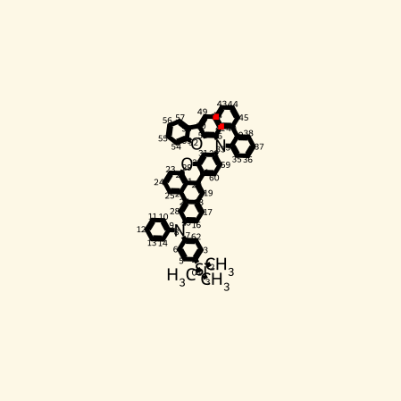 C[Si](C)(C)c1ccc(N(c2ccccc2)c2ccc3cc4c5c(cccc5c3c2)Oc2cc(N(c3ccccc3-c3ccccc3)c3cccc5c3oc3ccccc35)ccc2-4)cc1